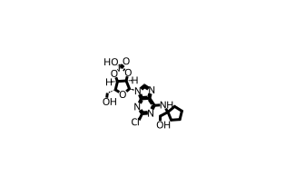 O=P1(O)O[C@@H]2[C@H](O1)[C@@H](CO)O[C@H]2n1cnc2c(NC3(CO)CCCC3)nc(Cl)nc21